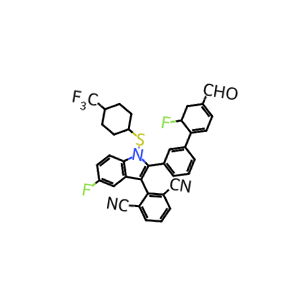 N#Cc1cccc(C#N)c1-c1c(-c2cccc(C3=CC=C(C=O)CC3F)c2)n(SC2CCC(C(F)(F)F)CC2)c2ccc(F)cc12